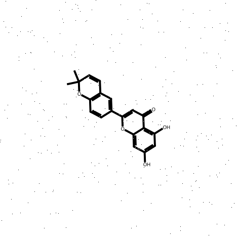 CC1(C)C=Cc2cc(-c3cc(=O)c4c(O)cc(O)cc4o3)ccc2O1